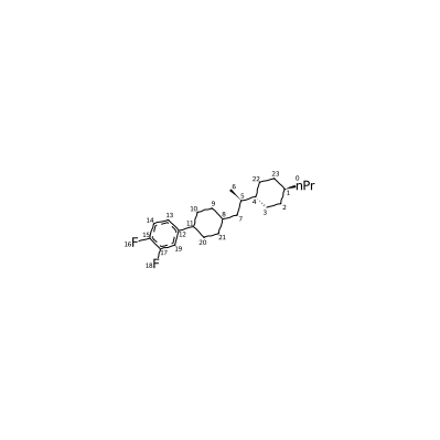 CCC[C@H]1CC[C@H]([C@H](C)CC2CCC(c3ccc(F)c(F)c3)CC2)CC1